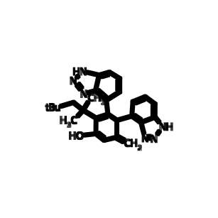 C=C1C=C(O)C(C(C)(C)CC(C)(C)C)=C(c2cccc3[nH]nnc23)C1c1cccc2[nH]nnc12